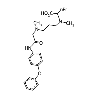 CCCC(C(=O)O)N(C)CCCN(C)CC(=O)Nc1ccc(Oc2ccccc2)cc1